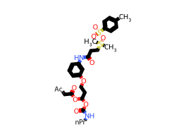 CCCNC(=O)OC(CCOc1cccc(NC(=O)CCS(C)(C)OS(=O)(=O)c2ccc(C)cc2)c1)OC(=O)CC(C)=O